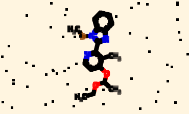 CCOC(C)Oc1ccnc(-c2nc3ccccc3n2SC)c1C